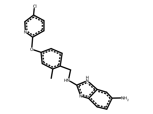 Cc1cc(Oc2ccc(Cl)cn2)ccc1CNc1nc2ccc(N)cc2[nH]1